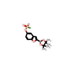 CC1(C)OB(c2cc3cc(OS(=O)(=O)F)ccc3o2)OC1(C)C